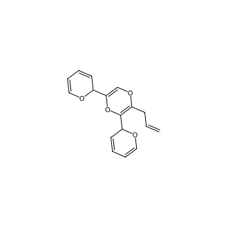 C=CCC1=C(C2C=CC=CO2)OC(C2C=CC=CO2)=CO1